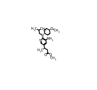 COC(=O)C[C@@H](C)c1cnc(N(CC(C)C)[C@H]2CC[C@H](OC)CC2)c(N)c1